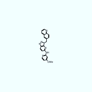 COc1ccnc(Nc2ccc3nnn(Cc4ccc5ncccc5c4)c3n2)c1